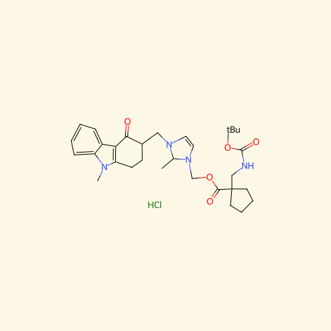 CC1N(COC(=O)C2(CNC(=O)OC(C)(C)C)CCCC2)C=CN1CC1CCc2c(c3ccccc3n2C)C1=O.Cl